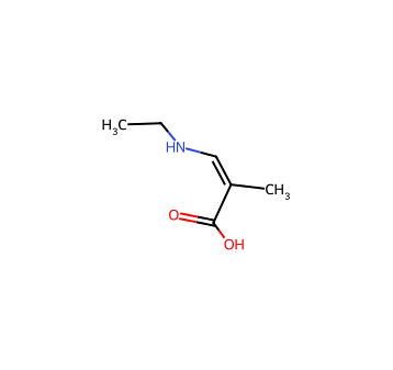 CCNC=C(C)C(=O)O